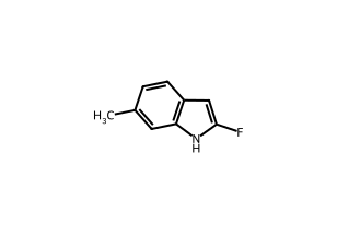 Cc1ccc2cc(F)[nH]c2c1